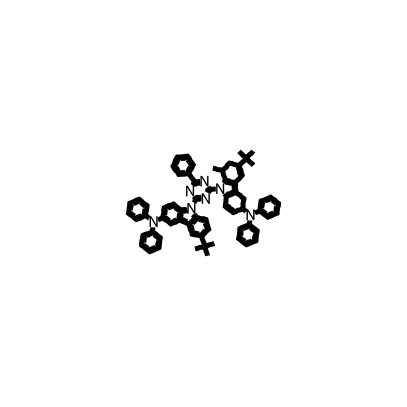 CC1CC(C(C)(C)C)=Cc2c3c(n(-c4nc(-c5ccccc5)nc(-n5c6ccc(N(c7ccccc7)c7ccccc7)cc6c6cc(C(C)(C)C)ccc65)n4)c21)C=CC(N(c1ccccc1)c1ccccc1)C3